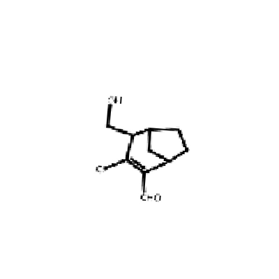 O=CC1=C(Cl)C(CO)C2CCC1C2